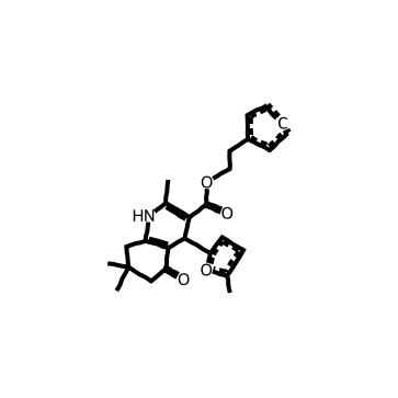 CC1=C(C(=O)OCCc2ccccc2)C(c2ccc(C)o2)C2=C(CC(C)(C)CC2=O)N1